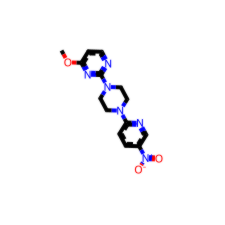 COc1ccnc(N2CCN(c3ccc([N+](=O)[O-])cn3)CC2)n1